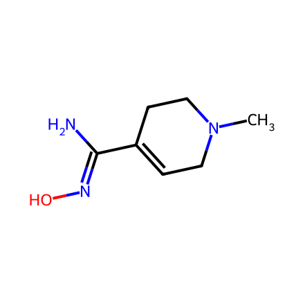 CN1CC=C(C(N)=NO)CC1